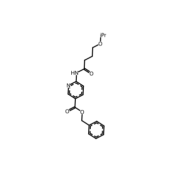 CC(C)OCCCC(=O)Nc1ccc(C(=O)OCc2ccccc2)cn1